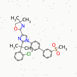 CC1(C)COC(c2cn(-c3ccc(-c4cccc(S(C)(=O)=O)c4)cc3)c(C(C)(C)c3ccccc3Cl)n2)=N1